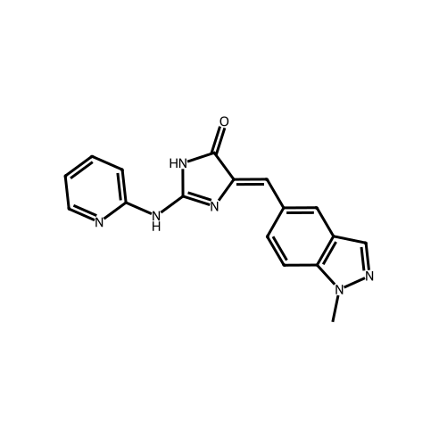 Cn1ncc2cc(/C=C3\N=C(Nc4ccccn4)NC3=O)ccc21